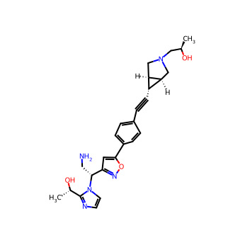 C[C@H](O)c1nccn1[C@H](CN)c1cc(-c2ccc(C#C[C@@H]3[C@H]4CN(C[C@@H](C)O)C[C@@H]34)cc2)on1